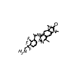 Cc1nnc(N[C@H](C)c2cccc(C(F)(F)CN)c2F)c2cc3c(cc12)n(C)c(=O)n3C